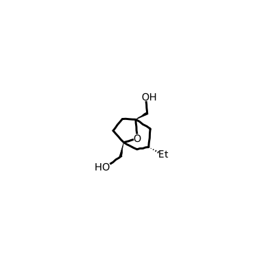 CC[C@@H]1C[C@]2(CO)CC[C@](CO)(C1)O2